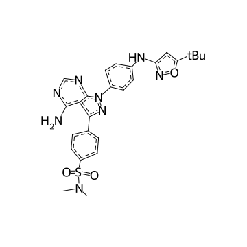 CN(C)S(=O)(=O)c1ccc(-c2nn(-c3ccc(Nc4cc(C(C)(C)C)on4)cc3)c3ncnc(N)c23)cc1